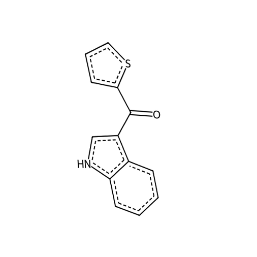 O=C(c1cccs1)c1c[nH]c2ccccc12